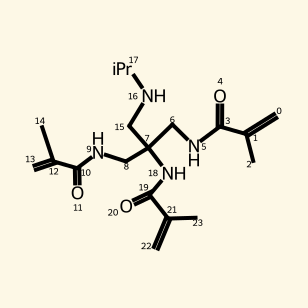 C=C(C)C(=O)NCC(CNC(=O)C(=C)C)(CNC(C)C)NC(=O)C(=C)C